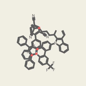 C=Cc1c(C(C)CCCCC(=C)C#N)n(-c2ccc(-c3nc(-c4ccccc4)nc(-c4ccccc4)n3)c(-c3cc(C(F)(F)F)ccc3-n3c4ccccc4c4cc(-c5ccc(C#N)cc5C#N)ccc43)c2)c2ccccc12